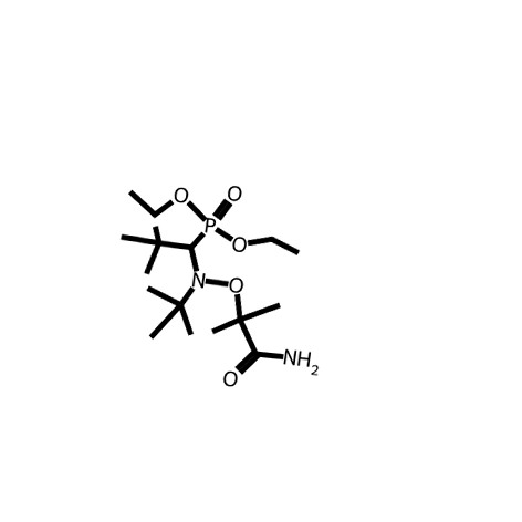 CCOP(=O)(OCC)C(N(OC(C)(C)C(N)=O)C(C)(C)C)C(C)(C)C